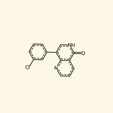 O=c1[nH]cc(-c2cccc(Cl)c2)c2ncccc12